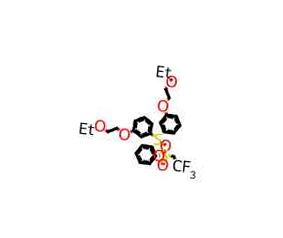 CCOCCOc1cccc(S(OS(=O)(=O)CC(F)(F)F)(c2ccccc2)c2cccc(OCCOCC)c2)c1